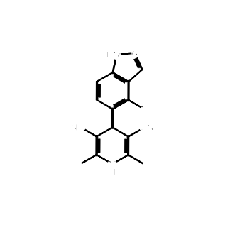 CC1=C(C#N)C(c2ccc3[nH]ncc3c2F)C(C#N)=C(C)N1